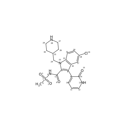 CS(=O)(=O)NC(=O)c1c(-c2ccc[nH]c2=O)c2cc(Cl)ccc2n1CC1CCNCC1